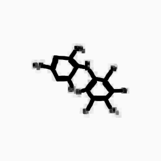 O=[N+]([O-])c1cc([N+](=O)[O-])c(Nc2c(Br)c(Cl)c(C(F)(F)F)c(Br)c2Br)c(C(F)(F)F)c1